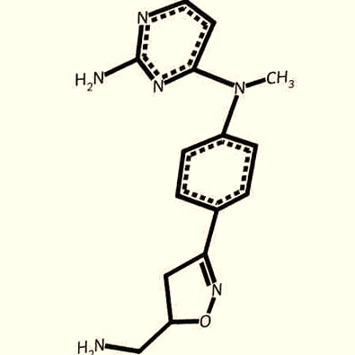 CN(c1ccc(C2=NOC(CN)C2)cc1)c1ccnc(N)n1